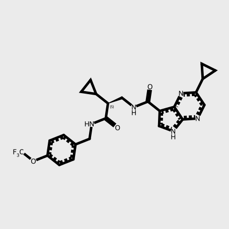 O=C(NC[C@@H](C(=O)NCc1ccc(OC(F)(F)F)cc1)C1CC1)c1c[nH]c2ncc(C3CC3)nc12